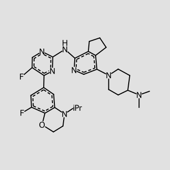 CC(C)N1CCOc2c(F)cc(-c3nc(Nc4ncc(N5CCC(N(C)C)CC5)c5c4CCC5)ncc3F)cc21